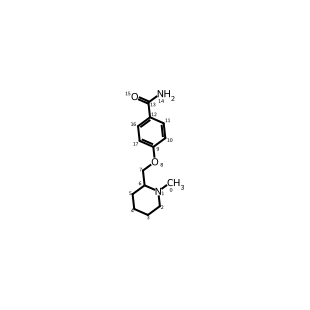 CN1CCCCC1COc1ccc(C(N)=O)cc1